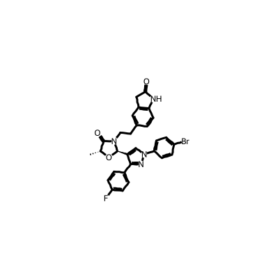 C[C@H]1O[C@H](c2cn(-c3ccc(Br)cc3)nc2-c2ccc(F)cc2)N(CCc2ccc3c(c2)CC(=O)N3)C1=O